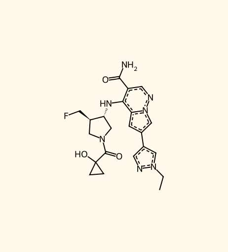 CCn1cc(-c2cc3c(N[C@@H]4CN(C(=O)C5(O)CC5)C[C@H]4CF)c(C(N)=O)cnn3c2)cn1